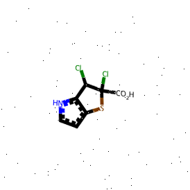 O=C(O)C1(Cl)Sc2c[c][nH]c2C1Cl